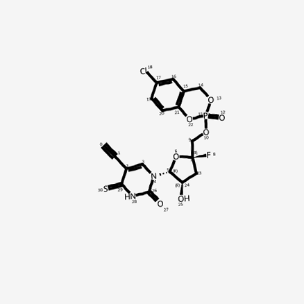 C#Cc1cn([C@@H]2O[C@](F)(COP3(=O)OCc4cc(Cl)ccc4O3)C[C@H]2O)c(=O)[nH]c1=S